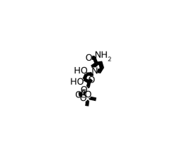 CCOP(=O)(OCC)OCC1OC([n+]2cccc(C(N)=O)c2)C(O)C1O